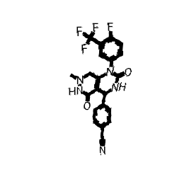 CN1CC2=C(C(=O)N1)C(c1ccc(C#N)cc1)NC(=O)N2c1ccc(F)c(C(F)(F)F)c1